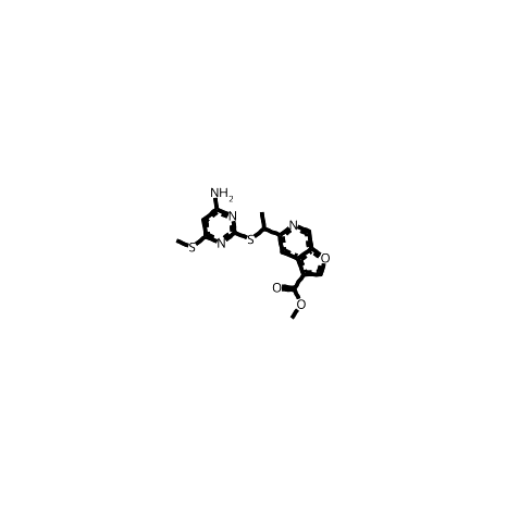 COC(=O)c1coc2cnc(C(C)Sc3nc(N)cc(SC)n3)cc12